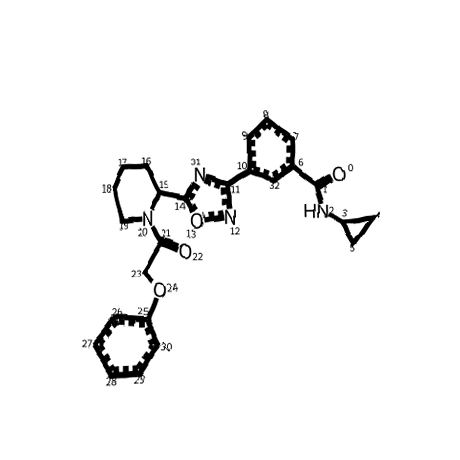 O=C(NC1CC1)c1cccc(-c2noc(C3CCCCN3C(=O)COc3ccccc3)n2)c1